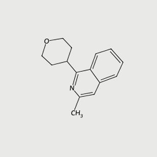 Cc1cc2ccccc2c(C2CCOCC2)n1